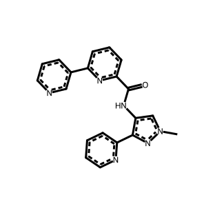 Cn1cc(NC(=O)c2cccc(-c3cccnc3)n2)c(-c2ccccn2)n1